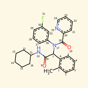 Cc1ccccc1C(C(=O)NC1CCCCC1)N(C(=O)c1ccccn1)c1cccc(F)c1